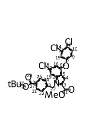 COC(=O)c1cc2c(Oc3ccc(Cl)c(Cl)c3)cc(Cl)cc2n1Cc1ccc(C(=O)OC(C)(C)C)cc1